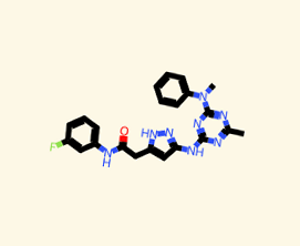 Cc1nc(Nc2cc(CC(=O)Nc3cccc(F)c3)[nH]n2)nc(N(C)c2ccccc2)n1